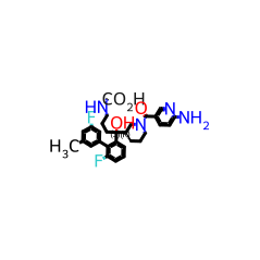 Cc1cc(F)cc(-c2c(F)cccc2[C@](O)(CCCNC(=O)O)[C@@H]2CCCN(C(=O)c3ccc(N)nc3)C2)c1